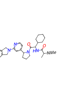 CNC(C)C(=O)NC(C(=O)N1CCCC1c1ccnc(N2Cc3ccccc3C2)c1)C1CCCCC1